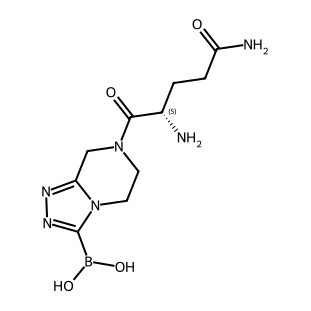 NC(=O)CC[C@H](N)C(=O)N1CCn2c(nnc2B(O)O)C1